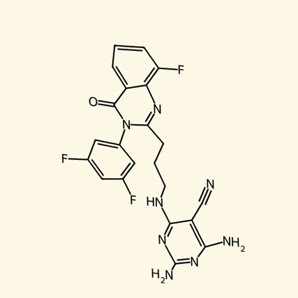 N#Cc1c(N)nc(N)nc1NCCCc1nc2c(F)cccc2c(=O)n1-c1cc(F)cc(F)c1